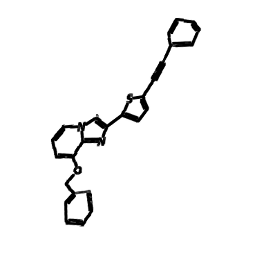 C(#Cc1ccc(-c2[c]n3cccc(OCc4ccccc4)c3n2)s1)c1ccccc1